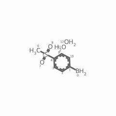 Bc1ccc(S(C)(=O)=O)cc1.O.O